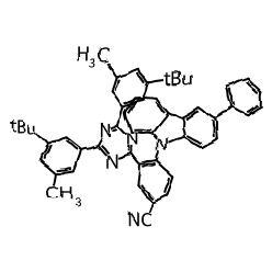 Cc1cc(-c2nc(-c3cc(C)cc(C(C)(C)C)c3)nc(-c3cc(C#N)ccc3-n3c4ccccc4c4cc(-c5ccccc5)ccc43)n2)cc(C(C)(C)C)c1